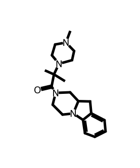 CN1CCN(C(C)(C)C(=O)N2CCN3c4ccccc4CC3C2)CC1